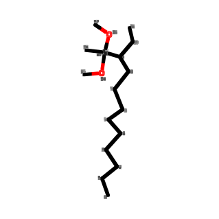 CCCCCCCCCC(CC)[Si](C)(OC)OC